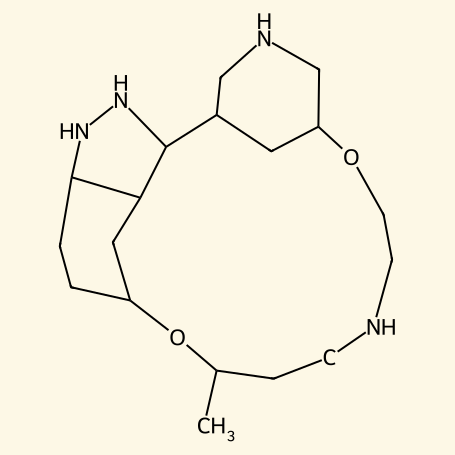 CC1CCNCCOC2CNCC(C2)C2NNC3CCC(CC32)O1